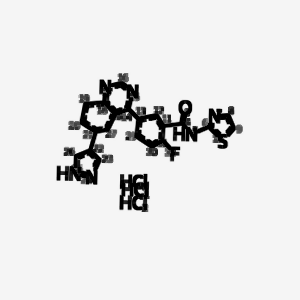 Cl.Cl.Cl.O=C(Nc1nccs1)c1cc(-c2ncnc3ccc(-c4cn[nH]c4)cc23)ccc1F